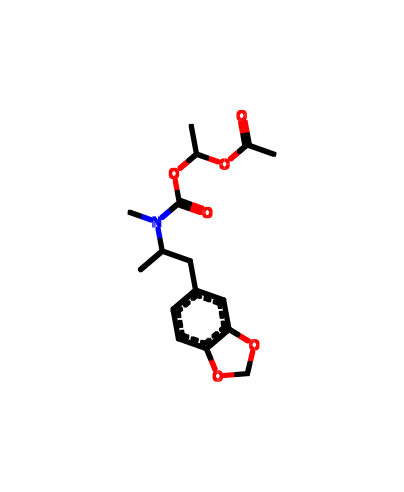 CC(=O)OC(C)OC(=O)N(C)C(C)Cc1ccc2c(c1)OCO2